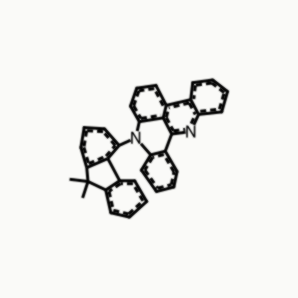 CC1(C)c2ccccc2-c2c(N3c4ccccc4-c4nc5ccccc5c5cccc3c45)cccc21